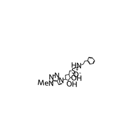 CNc1ncnc2c1ccn2C1CC(C[S+]([O-])CCNCCc2ccccc2)C(O)C1O